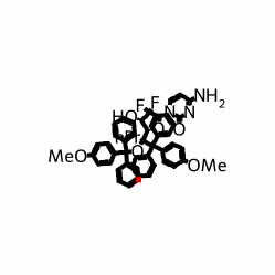 CCC[C@](OC(c1ccccc1)(c1ccccc1)c1ccc(OC)cc1)([C@H]1O[C@@H](n2ccc(N)nc2=O)C(F)(F)[C@@H]1O)C(c1ccccc1)(c1ccccc1)c1ccc(OC)cc1